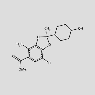 COC(=O)c1cc(Cl)c2c(c1C)O[C@@](C)(C1CCC(O)CC1)O2